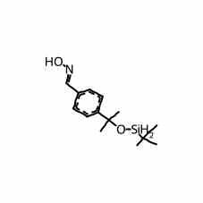 CC(C)(C)[SiH2]OC(C)(C)c1ccc(C=NO)cc1